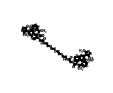 COc1cc2c(cc1-c1c(C)noc1C)ncc1c2n([C@H](C)c2ccccn2)c(=O)n1CC(=O)NCCOCCOCCOCCNC(=O)Cn1c(=O)n([C@H](C)c2ccccn2)c2c3cc(OC)c(-c4c(C)noc4C)cc3ncc21